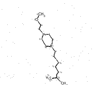 COCCN1CCN(CCCCCC(C)C)CC1